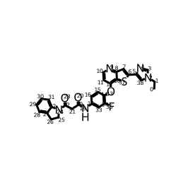 CCn1cnc(-c2cc3nccc(Oc4ccc(NC(=O)CC(=O)N5CCc6ccccc65)cc4F)c3s2)c1